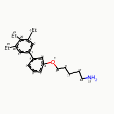 CCc1cc(-c2cccc(OCCCCCN)c2)cc(CC)c1CC